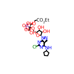 CCOC(=O)COC[C@](CO)(OC[C@H]1O[C@@H](n2ncc3c(NC4CCCC4)nc(Cl)nc32)[C@H](O)[C@@H]1O)P(=O)(O)O